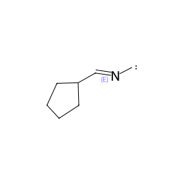 [CH]/N=C/C1CCCC1